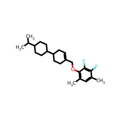 Cc1cc(C)c(OCC2=CCC(C3CCC(C(C)C)CC3)CC2)c(F)c1F